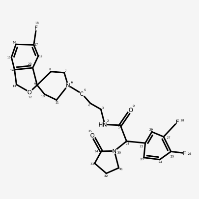 O=C(NCCCN1CCC2(CC1)OCc1ccc(F)cc12)C(c1ccc(F)c(F)c1)N1CCCC1=O